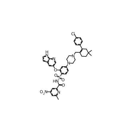 Cc1cc([N+](=O)[O-])cc(C(=O)NS(=O)(=O)c2ccc(N3CCN(CC4=C(c5ccc(Cl)cc5)CC(C)(C)CC4)CC3)cc2Oc2cnc3[nH]ccc3c2)n1